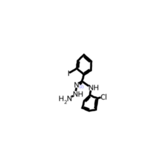 NN/N=C(\Nc1ccccc1Cl)c1ccccc1I